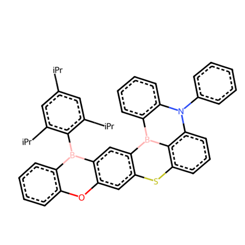 CC(C)c1cc(C(C)C)c(B2c3ccccc3Oc3cc4c(cc32)B2c3ccccc3N(c3ccccc3)c3cccc(c32)S4)c(C(C)C)c1